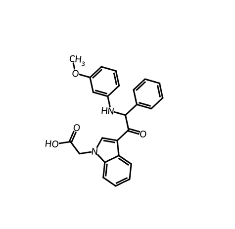 COc1cccc(NC(C(=O)c2cn(CC(=O)O)c3ccccc23)c2ccccc2)c1